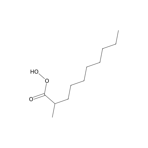 CCCCCCCCC(C)C(=O)OO